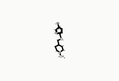 CN1CCC(COc2ccc(Br)cn2)CC1